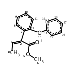 CC=C(C(=O)OC)c1ccccc1Oc1ccccn1